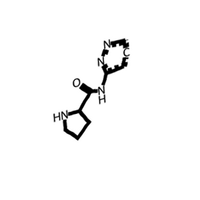 O=C(Nc1cccnn1)C1CCCN1